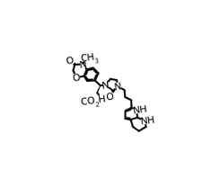 CN1C(=O)COc2cc([C@H](CC(=O)O)N3CCN(CCCC4=CC=C5CCCNC5N4)C3=O)ccc21